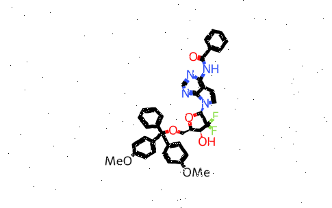 COc1ccc(C(OC[C@H]2O[C@@H](n3ccc4c(NC(=O)c5ccccc5)ncnc43)C(F)(F)[C@@H]2O)(c2ccccc2)c2ccc(OC)cc2)cc1